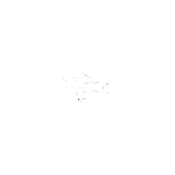 CN1CCN(c2n[nH]c(-c3ccc(Cl)c(Cl)c3)c2-c2ccncc2)CC1